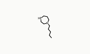 CCCCCN1CCCPCC1